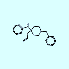 C=CCC1(Nc2ccccc2)CCN(Cc2ccccc2)CC1